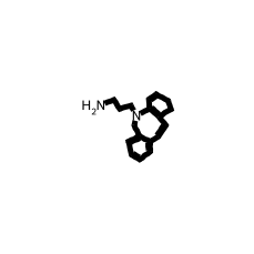 NCCCN1Cc2ccccc2C=CC2=C1C=CCC2